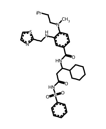 CC(C)CCN(C)c1ccc(C(=O)NC(CC(=O)NS(=O)(=O)c2ccccc2)C2CCCCC2)cc1NCc1nccs1